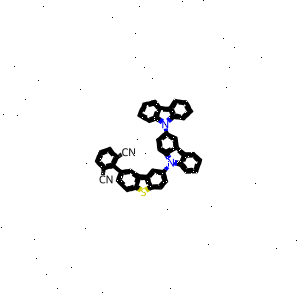 N#Cc1cccc(C#N)c1-c1ccc2sc3ccc(-n4c5ccccc5c5cc(-n6c7ccccc7c7ccccc76)ccc54)cc3c2c1